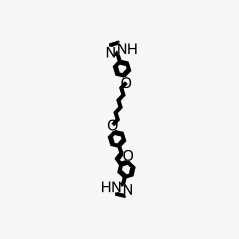 c1cc(C2=NCCN2)ccc1OCCCCCCOc1ccc(-c2cc3cc(C4=NCCN4)ccc3o2)cc1